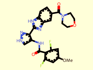 COc1cc(F)c(C(=O)Nc2c[nH]nc2-c2nc3cc(C(=O)N4CCOCC4)ccc3[nH]2)c(F)c1